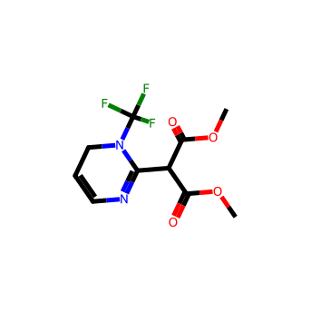 COC(=O)C(C(=O)OC)C1=NC=CCN1C(F)(F)F